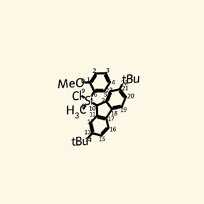 COc1ccccc1[Si](C)(Cl)C1c2cc(C(C)(C)C)ccc2-c2ccc(C(C)(C)C)cc21